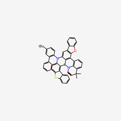 CC(C)(C)c1ccc(N2c3cc4c(oc5ccccc54)c4c3B(c3c2ccc2sc5ccccc5c32)N2c3ccccc3C(C)(C)c3cccc-4c32)c(-c2ccccc2)c1